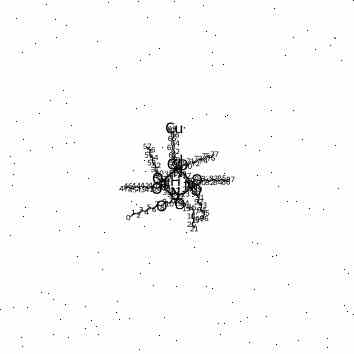 CCCCCCCCOCCc1c(OCCCCCCCC)c2cc3nc(cc4[nH]c(cc5nc(cc1[nH]2)C(OCCCCCCCC)=C5OCCCCCCCC)c(OCCCCCCCC)c4OCCCCCCCC)C(OCCCCCCCC)=C3OCCCCCCCC.[Cu]